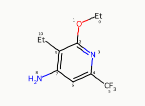 CCOc1nc(C(F)(F)F)cc(N)c1CC